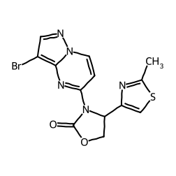 Cc1nc(C2COC(=O)N2c2ccn3ncc(Br)c3n2)cs1